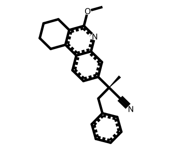 COc1nc2cc([C@](C)(C#N)Cc3ccccc3)ccc2c2c1CCCC2